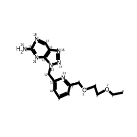 CCOCCOCc1cccc(Cn2nnc3cnc(N)nc32)n1